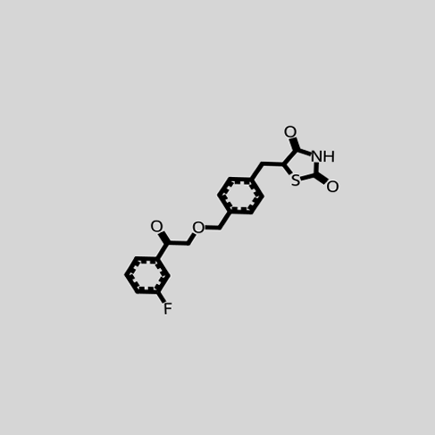 O=C1NC(=O)C(Cc2ccc(COCC(=O)c3cccc(F)c3)cc2)S1